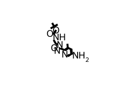 Cc1cc(N)cnc1-c1noc(CNC(=O)OC(C)(C)C)n1